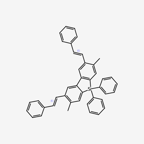 Cc1cc2c(cc1/C=C/c1ccccc1)-c1cc(/C=C/c3ccccc3)c(C)cc1[Si]2(c1ccccc1)c1ccccc1